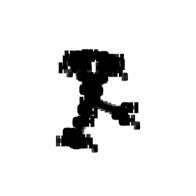 COC[C@@H]1C[C@@H](O)CN1C(=O)CCCCCCCCCCC(=O)NC(COCCC(=O)NCCCNC(=O)CCCCOC1CC(CO)C(O)C(O)C1NC(C)=O)(COCCC(=O)NCCCNC(=O)CCCCOC1OC(CO)C(O)C(O)C1NC(C)=O)COCCC(=O)NCCCNC(=O)CCCCOC1OC(CO)C(O)C(O)C1NC(C)=O